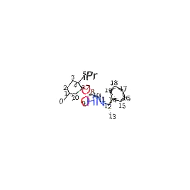 CC1CCC(C(C)C)C(OC(=O)CN[C@@H](C)c2ccccc2)C1